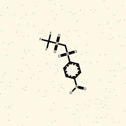 O=[N+]([O-])c1ccc(S(=O)(=O)CS(=O)(=O)C(F)(F)F)cc1